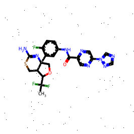 CC(F)(F)C1OCC2(c3cc(NC(=O)c4cnc(-n5cncn5)cn4)ccc3F)N=C(N)SCC12